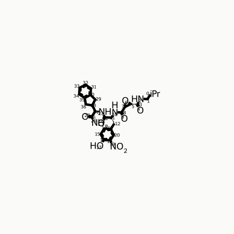 CC(C)CNC(=O)[C@H]1OC1C(=O)N[C@H](Cc1ccc(O)c([N+](=O)[O-])c1)C(=O)N[C@@H](C(N)=O)C1Cc2ccccc2C1